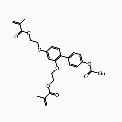 C=C(C)C(=O)OCCOc1ccc(-c2ccc(OC(=O)C(C)(C)C)cc2)c(OCCOC(=O)C(=C)C)c1